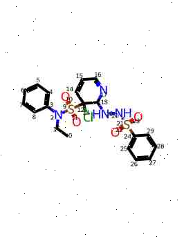 CCN(c1ccccc1)S(=O)(=O)C1(Cl)C=CC=NC1NNS(=O)(=O)c1ccccc1